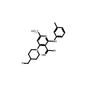 Cc1cccc(Nc2nc(C(=O)O)cc(N3CCC(CF)CC3)c2C(=N)C(C)C)c1